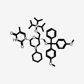 COc1ccc(C(OC[C@]2(CO[Si](C(C)C)(C(C)C)C(C)C)CN(C3CCCCC3)C[C@H](n3cc(C)c(=O)[nH]c3=O)O2)(c2ccccc2)c2ccc(OC)cc2)cc1